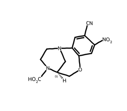 N#Cc1cc2c(cc1[N+](=O)[O-])OC[C@@H]1CN2CCN1C(=O)O